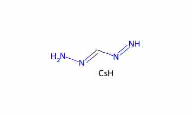 N=NC=NN.[CsH]